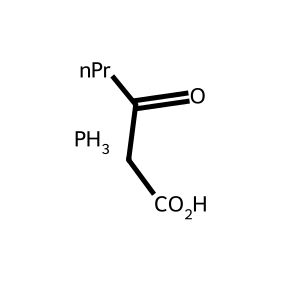 CCCC(=O)CC(=O)O.P